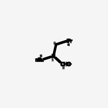 CCCCN([C]=O)CC(C)C